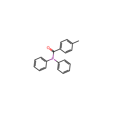 Cc1ccc(C(=O)P(c2ccccc2)c2ccccc2)cc1